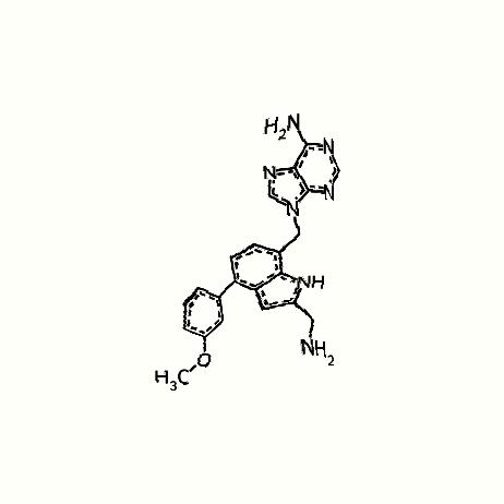 COc1cccc(-c2ccc(Cn3cnc4c(N)ncnc43)c3[nH]c(CN)cc23)c1